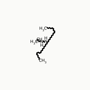 CCCCC/C=C\C/C=C\CCCCCCCCC(CCCCCCCC/C=C\C/C=C\CCCCC)NCCNCCN(C)C